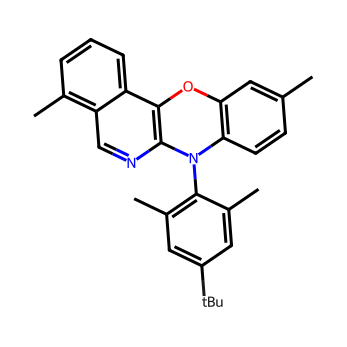 Cc1ccc2c(c1)Oc1c(ncc3c(C)cccc13)N2c1c(C)cc(C(C)(C)C)cc1C